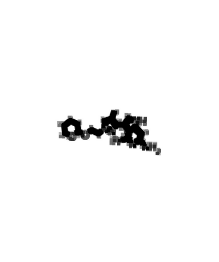 Cc1cn(CCOC2CCCCO2)nc1-c1c[nH]c2cc(N)nc(C(C)C)c12